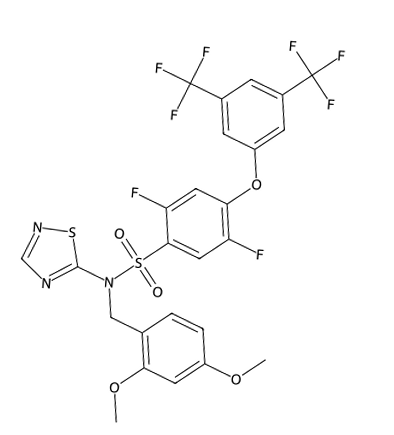 COc1ccc(CN(c2ncns2)S(=O)(=O)c2cc(F)c(Oc3cc(C(F)(F)F)cc(C(F)(F)F)c3)cc2F)c(OC)c1